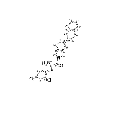 NC(Cc1ccc(Cl)cc1Cl)C(=O)N1Cc2ccc(-c3ccc4ccccc4c3)cc2C1